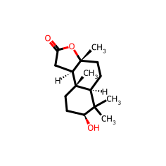 CC1(C)[C@@H](O)CC[C@]2(C)[C@H]3CC(=O)O[C@]3(C)CC[C@@H]12